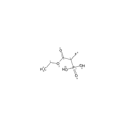 CCOC(=O)C(F)P(=O)(O)O